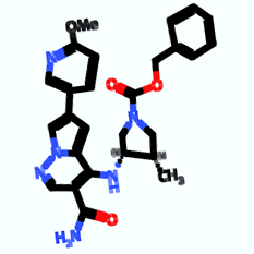 COc1ccc(-c2cc3c(N[C@@H]4CN(C(=O)OCc5ccccc5)C[C@@H]4C)c(C(N)=O)cnn3c2)cn1